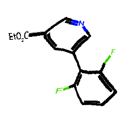 CCOC(=O)c1cncc(-c2c(F)cccc2F)c1